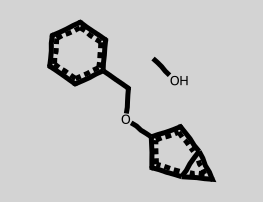 CO.c1ccc(COc2cc3cc-3c2)cc1